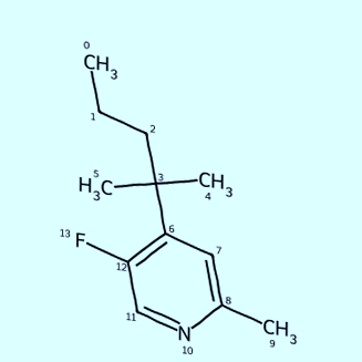 CCCC(C)(C)c1cc(C)ncc1F